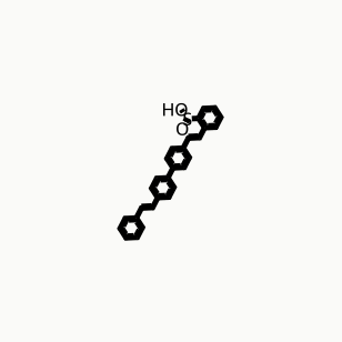 O=S(O)c1ccccc1/C=C/c1ccc(-c2ccc(/C=C/c3ccccc3)cc2)cc1